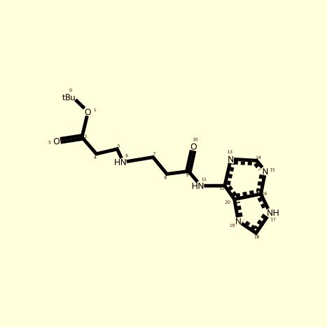 CC(C)(C)OC(=O)CCNCCC(=O)Nc1ncnc2[nH]cnc12